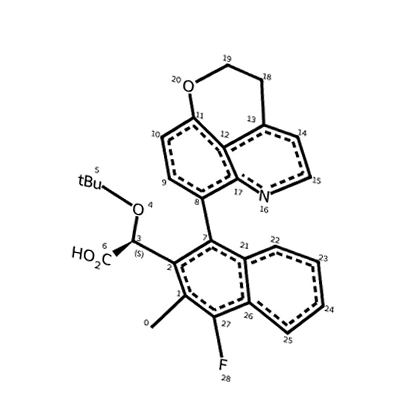 Cc1c([C@H](OC(C)(C)C)C(=O)O)c(-c2ccc3c4c(ccnc24)CCO3)c2ccccc2c1F